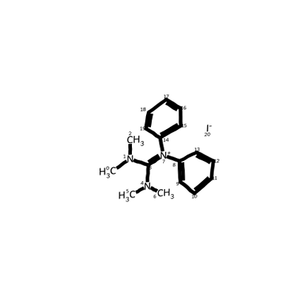 CN(C)C(N(C)C)=[N+](c1ccccc1)c1ccccc1.[I-]